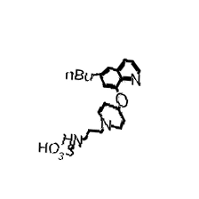 CCCCc1cc(OC2CCN(CCCNS(=O)(=O)O)CC2)c2ncccc2c1